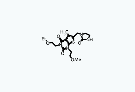 CCOCCn1c(=O)c2c(C)c(CN3CCNC3=O)sc2n(CCOC)c1=O